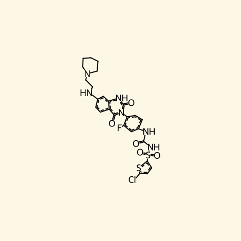 O=C(Nc1ccc(-n2c(=O)[nH]c3cc(NCCN4CCCCC4)ccc3c2=O)c(F)c1)NS(=O)(=O)c1ccc(Cl)s1